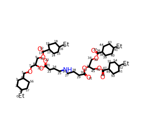 CCC1CCC(COCC(COC(=O)C2CCC(CC)CC2)OC(=O)CCCNCCCC(=O)OC(COC(=O)C2CCC(CC)CC2)COC(=O)C2CCC(CC)CC2)CC1